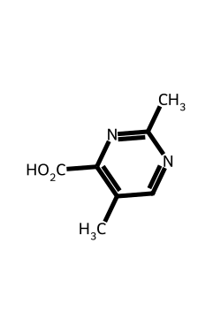 Cc1ncc(C)c(C(=O)O)n1